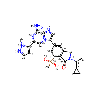 C[C@@H](C1CC1)N1Cc2cc(-c3cnc4c(N)nc(-c5ccnn5C)cn34)cc(S(C)(=O)=O)c2C1=O